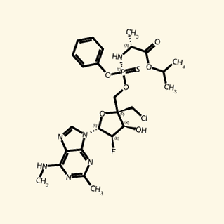 CNc1nc(C)nc2c1ncn2[C@@H]1O[C@](CCl)(CO[P@@](=S)(N[C@H](C)C(=O)OC(C)C)Oc2ccccc2)[C@@H](O)[C@H]1F